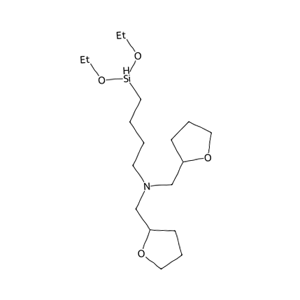 CCO[SiH](CCCCN(CC1CCCO1)CC1CCCO1)OCC